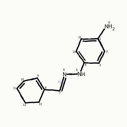 Nc1ccc(N/N=C/C2=CC=CCC2)cc1